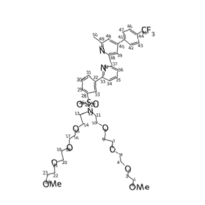 COCCOCCOCCOCCN(CCOCCOCCOCCOC)S(=O)(=O)c1cccc(-c2cccc(-c3cc(-c4ccc(C(F)(F)F)cc4)cc(C)n3)n2)c1